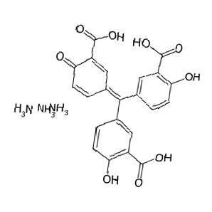 N.N.N.O=C(O)C1=CC(=C(c2ccc(O)c(C(=O)O)c2)c2ccc(O)c(C(=O)O)c2)C=CC1=O